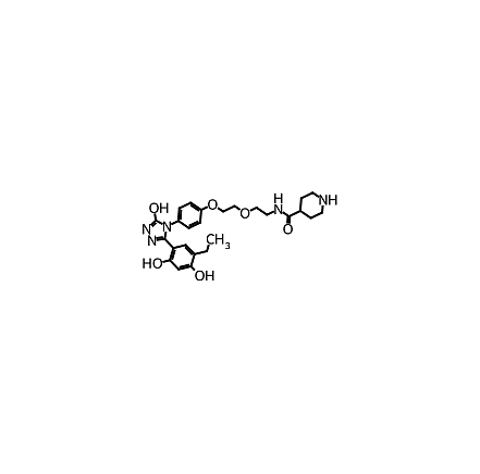 CCc1cc(-c2nnc(O)n2-c2ccc(OCCOCCNC(=O)C3CCNCC3)cc2)c(O)cc1O